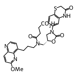 COc1ccc2nccc(CCCN(C[C@@H]3CN(c4ccc5c(c4)NC(=O)CS5)C(=O)O3)C(=O)CCC(=O)O)c2n1